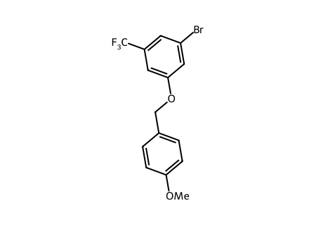 COc1ccc(COc2cc(Br)cc(C(F)(F)F)c2)cc1